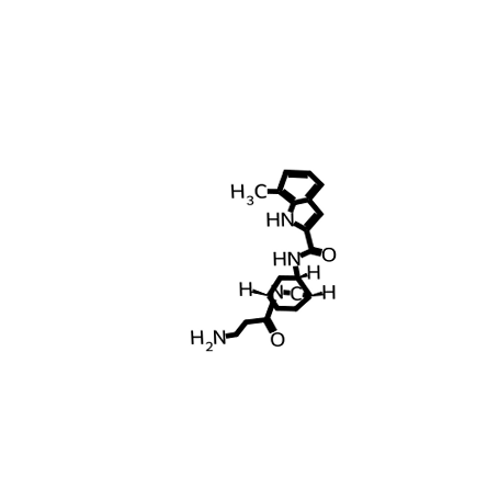 Cc1cccc2cc(C(=O)N[C@H]3C[C@H]4CC[C@@H]3CN4C(=O)CCN)[nH]c12